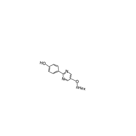 CCCCCCOc1cnc(-c2ccc(O)cc2)nc1